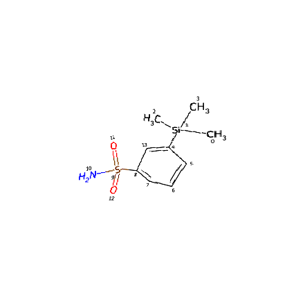 C[Si](C)(C)c1cccc(S(N)(=O)=O)c1